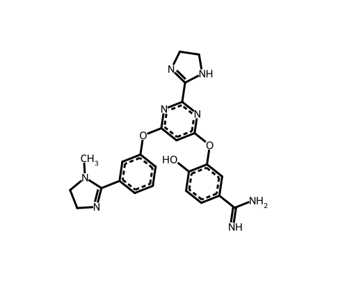 CN1CCN=C1c1cccc(Oc2cc(Oc3cc(C(=N)N)ccc3O)nc(C3=NCCN3)n2)c1